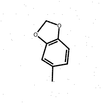 [CH2]c1ccc2c(c1)OCO2